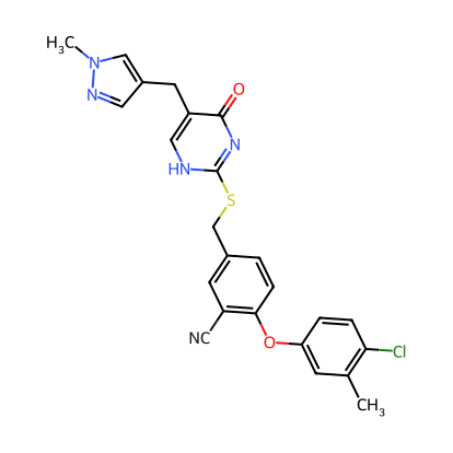 Cc1cc(Oc2ccc(CSc3nc(=O)c(Cc4cnn(C)c4)c[nH]3)cc2C#N)ccc1Cl